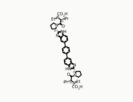 CCN(C(=O)O)[C@H](C(=O)N1CCC[C@H]1c1nc2cc(-c3ccc(-c4ccc5[nH]c([C@@H]6CCCN6C(=O)[C@H](C(C)C)N(CC)C(=O)O)nc5c4)cc3)ccc2[nH]1)C(C)C